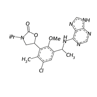 COc1c(C(C)Nc2ncnc3[nH]cnc23)cc(Cl)c(C)c1C1CN(C(C)C)C(=O)O1